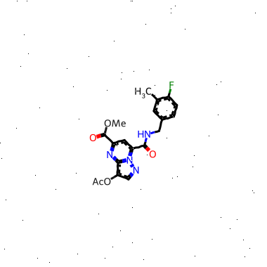 COC(=O)c1cc(C(=O)NCc2ccc(F)c(C)c2)n2ncc(OC(C)=O)c2n1